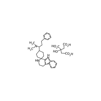 CN(C)C(CCc1ccccc1)C1CCC2(CC1)NCCc1c2[nH]c2ccccc12.O=C(O)CC(O)(CC(=O)O)C(=O)O